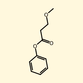 COCCC(=O)Oc1ccccc1